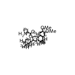 [2H]C12CC(OC(=O)[C@@H](N)C(C)C)C(C([2H])([2H])C([2H])(C)C([2H])([2H])[2H])CN1C([2H])([2H])C([2H])([2H])c1cc(OC)c(OC)cc12